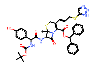 CC(C)(C)OC(=O)NC(C(=O)N[C@@H]1C(=O)N2C(C(=O)OC(c3ccccc3)c3ccccc3)=C(C=CCSc3cnn[nH]3)CS[C@@H]12)c1ccc(O)cc1